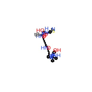 Cc1ncsc1-c1ccc(CNC(=O)[C@@H]2C[C@@H](O)CN2C(=O)[C@@H](NC(=O)CCCCCCCCCCNC(=O)CCCCC#Cc2cccc(Cn3c(-c4ccccc4)c(-c4ccccc4)c4c(=N)n(C5CCC(O)CC5)cnc43)c2)C(C)(C)C)cc1